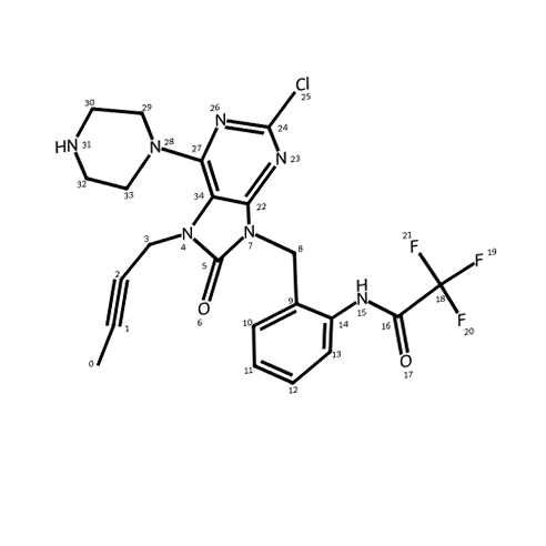 CC#CCn1c(=O)n(Cc2ccccc2NC(=O)C(F)(F)F)c2nc(Cl)nc(N3CCNCC3)c21